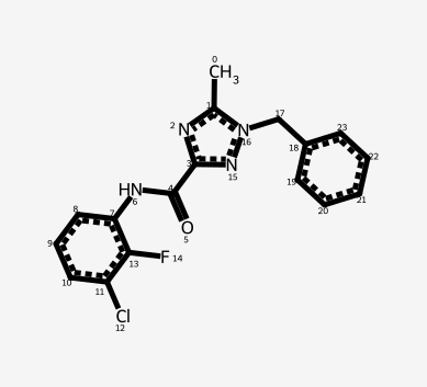 Cc1nc(C(=O)Nc2cccc(Cl)c2F)nn1Cc1ccccc1